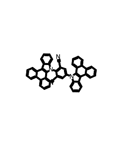 N#Cc1cc(-n2c3ccccc3c3c4ccccc4c4ccccc4c32)cc(C#N)c1-n1c2ccccc2c2c3ccccc3c3ccccc3c21